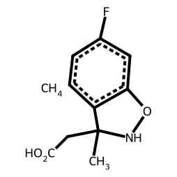 C.CC1(CC(=O)O)NOc2cc(F)ccc21